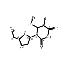 CCOC1C(F)C(=O)NC(=O)N1[C@H]1C[C@H](F)[C@@H](CO)O1